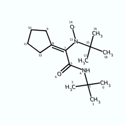 CC(C)(C)NC(=O)C(=C1CCCC1)N([O])C(C)(C)C